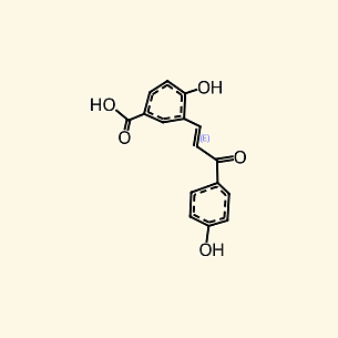 O=C(O)c1ccc(O)c(/C=C/C(=O)c2ccc(O)cc2)c1